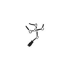 C#CO[Si](OC)(OC)OC